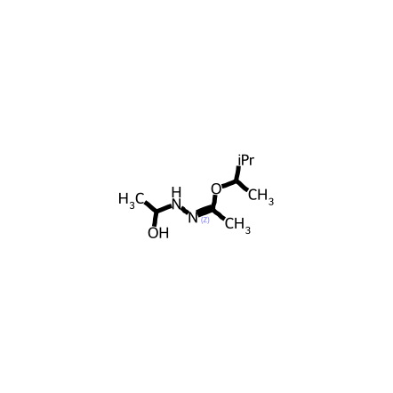 C/C(=N/NC(C)O)OC(C)C(C)C